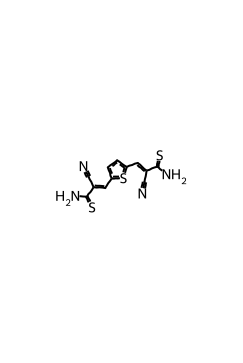 N#C/C(=C\c1ccc(/C=C(\C#N)C(N)=S)s1)C(N)=S